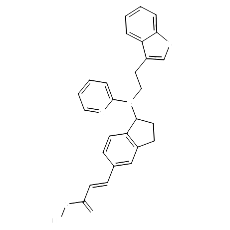 O=C(C=Cc1ccc2c(c1)CCC2N(CCc1c[nH]c2ccccc12)c1ccccn1)NO